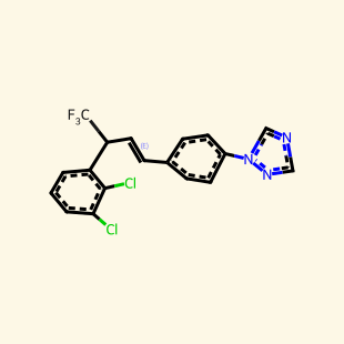 FC(F)(F)C(/C=C/c1ccc(-n2cncn2)cc1)c1cccc(Cl)c1Cl